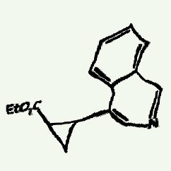 CCOC(=O)C1CC1c1cncc2ccccc12